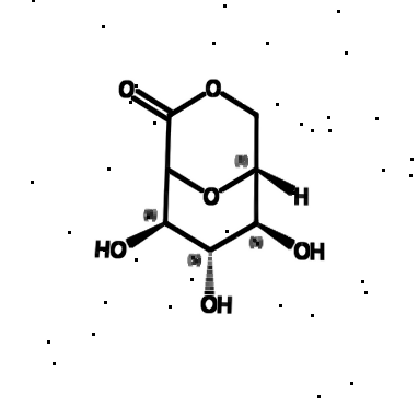 O=C1OC[C@H]2OC1[C@H](O)[C@@H](O)[C@@H]2O